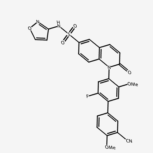 COc1ccc(-c2cc(OC)c(-n3c(=O)ccc4cc(S(=O)(=O)Nc5ccon5)ccc43)cc2F)cc1C#N